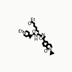 CCC(=O)CCCCC[C@H](NC(=O)[C@H]1CC12CCN(CC)CC2)c1ncc(-c2ccc3c(=O)n(C4CC4)ccc3c2)o1